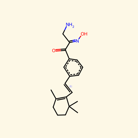 CC1=C(/C=C/c2cccc(C(=O)C(CN)=NO)c2)C(C)(C)CCC1